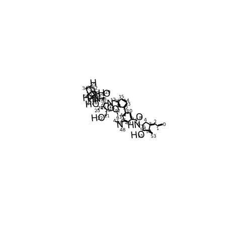 C=C/C=C1/C[C@@H](NC(=O)c2cc(-c3cccc(CN4O[C@@H](CO)[C@H]([C@H](C)O)[C@H]4C(=O)N[C@H]4C[C@H]5C[C@@H]([C@@H]4C)C5(C)C)c3OC)cc(N(C)C)c2)[C@@H](O)C1=C